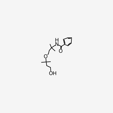 CC(C)(CCOC(C)(C)CCO)NC(=O)c1ccccc1